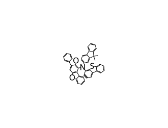 CC1(C)c2ccccc2-c2ccc(N(c3c#ccc4c3sc3ccccc34)c3c4oc5ccccc5c4cc4oc5ccccc5c34)cc21